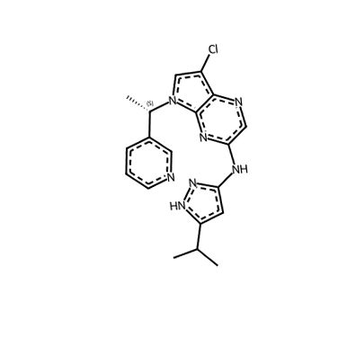 CC(C)c1cc(Nc2cnc3c(Cl)cn([C@@H](C)c4cccnc4)c3n2)n[nH]1